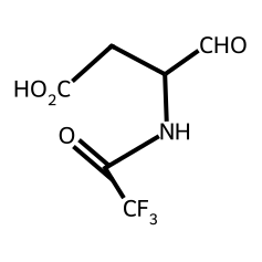 O=CC(CC(=O)O)NC(=O)C(F)(F)F